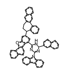 c1ccc2c(c1)-c1cc3ccccc3cc1CCC2c1cc(C2=NC(n3c4ccccc4c4ccccc43)=NC(c3ccc4ccccc4c3)N2)c2c(c1)oc1c3ccccc3ccc12